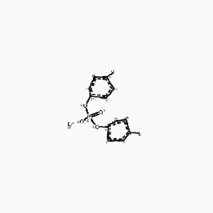 Cc1ccc(OP(=O)([O-])Oc2ccc(C)cc2)cc1.[Li+]